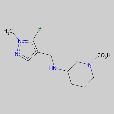 Cn1ncc(CNC2CCCN(C(=O)O)C2)c1Br